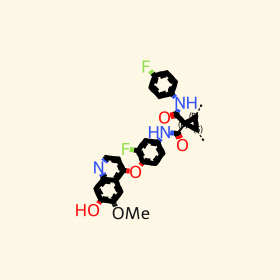 COc1cc2c(Oc3ccc(NC(=O)[C@@]4(C(=O)Nc5ccc(F)cc5)[C@H](C)[C@@H]4C)cc3F)ccnc2cc1O